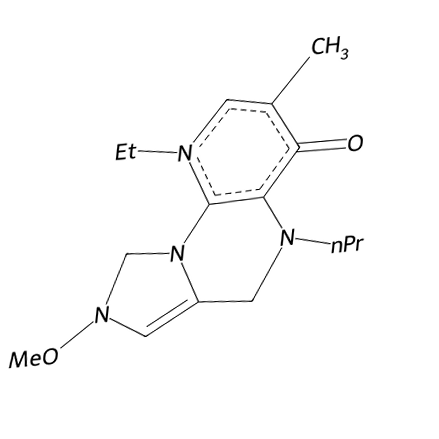 CCCN1CC2=CN(OC)CN2c2c1c(=O)c(C)cn2CC